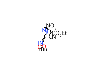 CCOC(=O)/C(=C/c1c([N+](=O)[O-])cnn1CCCCCNC(=O)OC(C)(C)C)CC#N